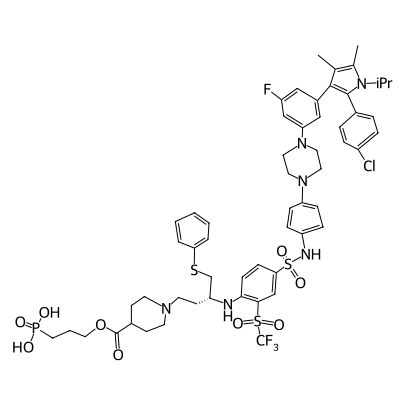 Cc1c(-c2cc(F)cc(N3CCN(c4ccc(NS(=O)(=O)c5ccc(N[C@H](CCN6CCC(C(=O)OCCCP(=O)(O)O)CC6)CSc6ccccc6)c(S(=O)(=O)C(F)(F)F)c5)cc4)CC3)c2)c(-c2ccc(Cl)cc2)n(C(C)C)c1C